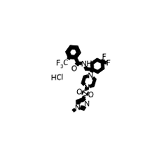 Cl.Cn1cnc(S(=O)(=O)N2CCN(C3(CNC(=O)c4ccccc4C(F)(F)F)CCC(F)(F)CC3)CC2)c1